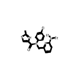 CCN(CC)c1cccc(CN(C(=O)c2csc(C)n2)c2ccc(Cl)cc2)n1